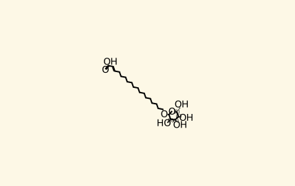 O=C(O)C=CCCCCCCCCCCCCCCCOC1O[C@H](CO)[C@@H](O)[C@H](O)[C@H]1O